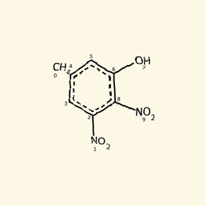 C.O=[N+]([O-])c1cccc(O)c1[N+](=O)[O-]